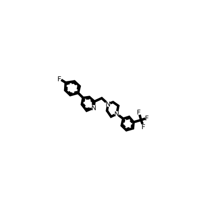 Fc1ccc(-c2ccnc(CN3CCN(c4cccc(C(F)(F)F)c4)CC3)c2)cc1